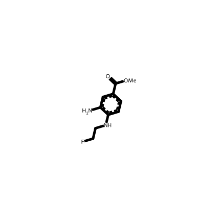 COC(=O)c1ccc(NCCF)c(N)c1